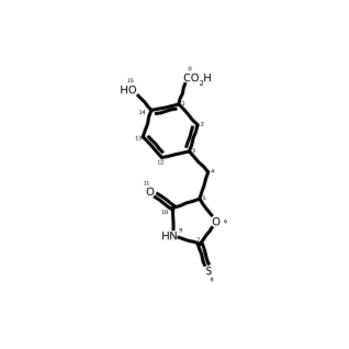 O=C(O)c1cc(CC2OC(=S)NC2=O)ccc1O